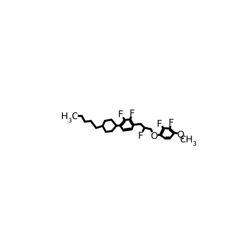 CCCCCC1CCC(c2ccc(CC(F)COc3ccc(OC)c(F)c3F)c(F)c2F)CC1